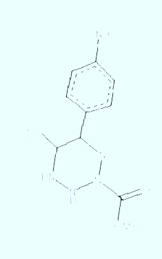 COC(=O)N1NNC(C(=O)O)C(c2ccc([N+](=O)[O-])cc2)N1